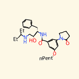 CCCCCOc1cc(C(=O)N[C@@H](Cc2ccccc2)[C@H](O)CNC(CC)CC)cc(N2CCCC2=O)c1